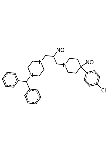 O=NC(CN1CCN(C(c2ccccc2)c2ccccc2)CC1)CN1CCC(N=O)(c2ccc(Cl)cc2)CC1